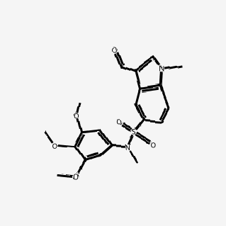 COc1cc(N(C)S(=O)(=O)c2ccc3c(c2)c(C=O)cn3C)cc(OC)c1OC